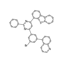 Brc1cc(-c2cc(-c3cccc4c3sc3ccccc34)nc(-c3ccccc3)n2)cc(-c2cccc3ncccc23)c1